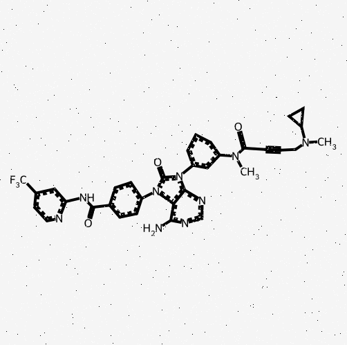 CN(C(=O)C#CCN(C)C1CC1)c1cccc(-n2c(=O)n(-c3ccc(C(=O)Nc4cc(C(F)(F)F)ccn4)cc3)c3c(N)ncnc32)c1